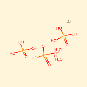 O.O.O=P(O)(O)O.O=P(O)(O)O.O=P(O)(O)O.[Al]